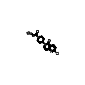 CC(C)(C)OC(=O)N1CCC(n2ccc3nc(Cl)ccc3c2=O)CC1